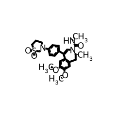 CNC(=O)N1C=C(c2ccc(N3CCCS(=O)(=O)C3)cc2)c2cc(OC)c(OC)cc2C[C@H]1C